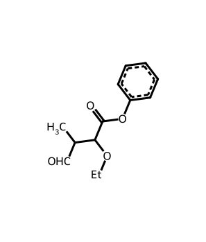 CCOC(C(=O)Oc1ccccc1)C(C)C=O